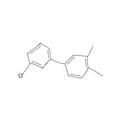 Cc1ccc(-c2cccc(Cl)c2)cc1C